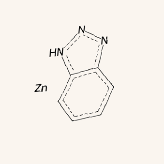 [Zn].c1ccc2[nH]nnc2c1